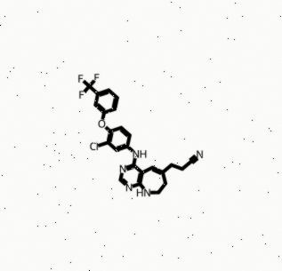 N#CCCC1=Cc2c(ncnc2Nc2ccc(Oc3cccc(C(F)(F)F)c3)c(Cl)c2)NCC1